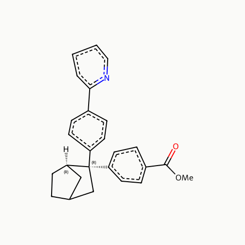 COC(=O)c1ccc([C@]2(c3ccc(-c4ccccn4)cc3)CC3CC[C@@H]2C3)cc1